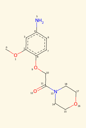 COc1cc(N)ccc1OCC(=O)N1CCOCC1